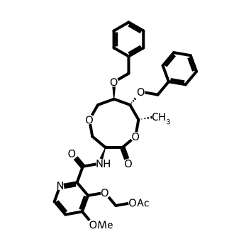 COc1ccnc(C(=O)N[C@H]2COC[C@@H](OCc3ccccc3)[C@H](OCc3ccccc3)[C@H](C)OC2=O)c1OCOC(C)=O